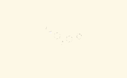 CCc1nc(-c2ccc3c(c2)C[C@H](C)N(CC(C)(C)F)[C@H]3c2c(F)cc(/C=C/C(=O)OC)cc2F)no1